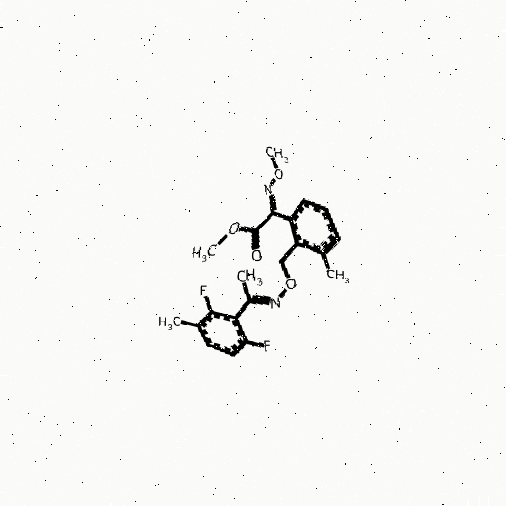 CO/N=C(/C(=O)OC)c1cccc(C)c1CO/N=C(\C)c1c(F)ccc(C)c1F